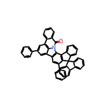 O=c1c2ccccc2c2cc(-c3ccccc3)cc3c4cc(-c5ccccc5)c5c(c4n1c23)-c1ccccc1C51c2ccccc2-c2ccccc21